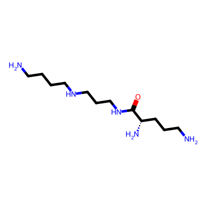 NCCCCNCCCNC(=O)[C@@H](N)CCCN